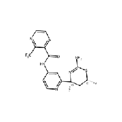 C[C@@H]1C[C@@](C)(c2cc(NC(=O)c3nccnc3C(F)(F)F)ccn2)N=C(N)S1